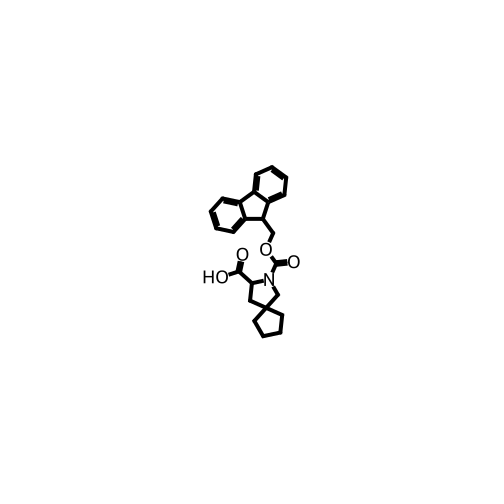 O=C(O)C1CC2(CCCC2)CN1C(=O)OCC1c2ccccc2-c2ccccc21